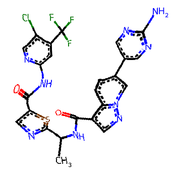 CC(NC(=O)c1cnn2cc(-c3cnc(N)nc3)ccc12)c1ncc(C(=O)Nc2cc(C(F)(F)F)c(Cl)cn2)s1